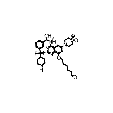 C[C@@H](Nc1ncnc2c(OCCCCCC=O)cc(N3CCS(=O)(=O)CC3)cc12)c1cccc(C(F)(F)C2CCNCC2)c1